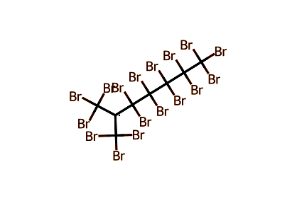 BrC(Br)(Br)[C](C(Br)(Br)Br)C(Br)(Br)C(Br)(Br)C(Br)(Br)C(Br)(Br)C(Br)(Br)Br